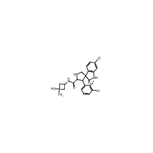 CC1(O)CC(NC(=O)C2NCC3(C(=O)Nc4cc(Cl)ccc43)C2c2cccc(Cl)c2F)C1